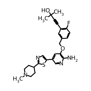 CN1CCC(c2ncc(-c3cnc(N)c(OCc4ccc(F)c(C#CC(C)(C)O)c4)c3)s2)CC1